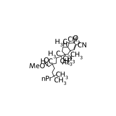 CCCC(C)(C)CC[C@@](C)(CCC(C)(C)[C@]1(C)CC[C@H]2C(C)(C)C(=O)C(C#N)=C[C@]2(C)[C@H]1CC(C)=O)CC(=O)OC